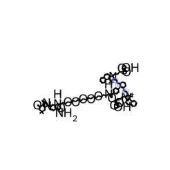 Cc1nn(-c2ccc(C(N)=O)c(NCCCOCCOCCOCCOCCOCCCNC(=O)c3ccc(C4=C(/C=C/C5=[N+](CCCCS(=O)(=O)O)c6ccc7ccccc7c6C5(C)C)CCC/C4=C\C=C4\N(CCCCS(=O)(=O)O)c5ccc6ccccc6c5C4(C)C)cc3)c2)c2c1C(=O)CC(C)(C)C2